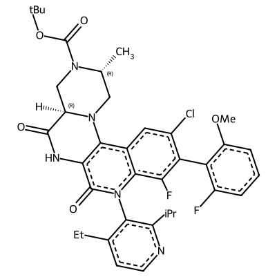 CCc1ccnc(C(C)C)c1-n1c(=O)c2c(c3cc(Cl)c(-c4c(F)cccc4OC)c(F)c31)N1C[C@@H](C)N(C(=O)OC(C)(C)C)C[C@@H]1C(=O)N2